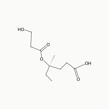 CC[C@](C)(CCC(=O)O)OC(=O)CCO